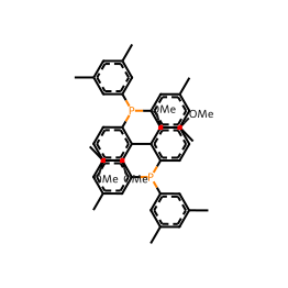 COc1ccc(P(c2cc(C)cc(C)c2)c2cc(C)cc(C)c2)c(-c2c(P(c3cc(C)cc(C)c3)c3cc(C)cc(C)c3)ccc(OC)c2OC)c1OC